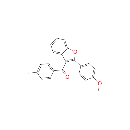 COc1ccc(-c2oc3ccccc3c2C(=O)c2ccc(C)cc2)cc1